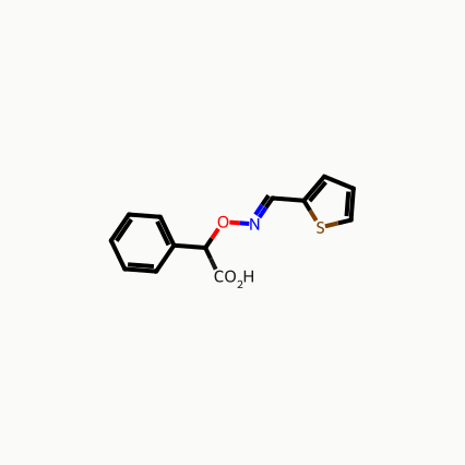 O=C(O)C(ON=Cc1cccs1)c1ccccc1